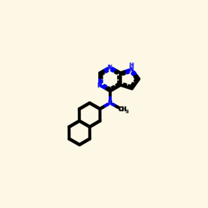 CN(c1ncnc2[nH]ccc12)C1CCC2CCCCC2C1